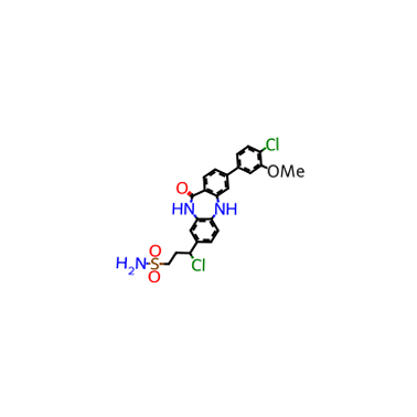 COc1cc(-c2ccc3c(c2)Nc2ccc(C(Cl)CCS(N)(=O)=O)cc2NC3=O)ccc1Cl